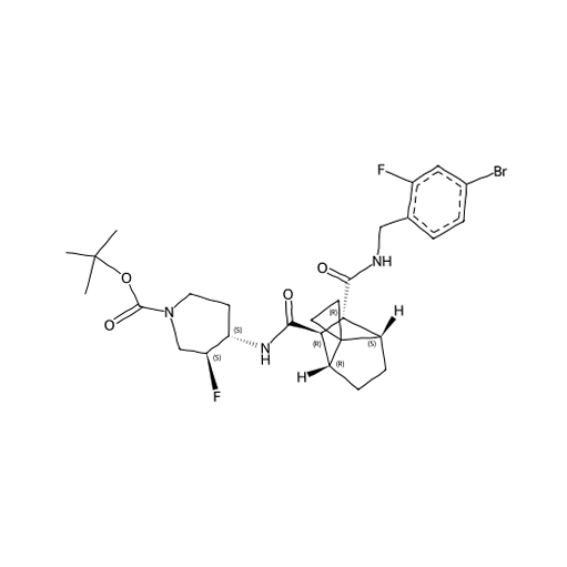 CC(C)(C)OC(=O)N1CC[C@H](NC(=O)[C@H]2[C@H](C(=O)NCc3ccc(Br)cc3F)[C@@H]3CC[C@H]2C32CC2)[C@@H](F)C1